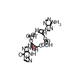 Nc1ncnc2c1ncn2[C@@H]1C[C@@H]2CO[PH](=O)O[C@@H]3[C@H](F)[C@@H](COP(=O)(O)OC[C@H]21)O[C@H]3n1cnc2c(=O)n3ccnc3[nH]c21